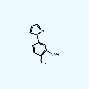 Bc1ccc(-n2cccn2)cc1OC